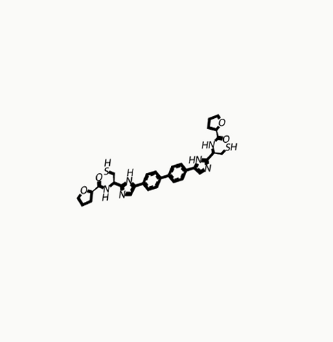 O=C(N[C@@H](CS)c1ncc(-c2ccc(-c3ccc(-c4cnc([C@H](CS)NC(=O)[C@H]5CCCO5)[nH]4)cc3)cc2)[nH]1)[C@H]1CCCO1